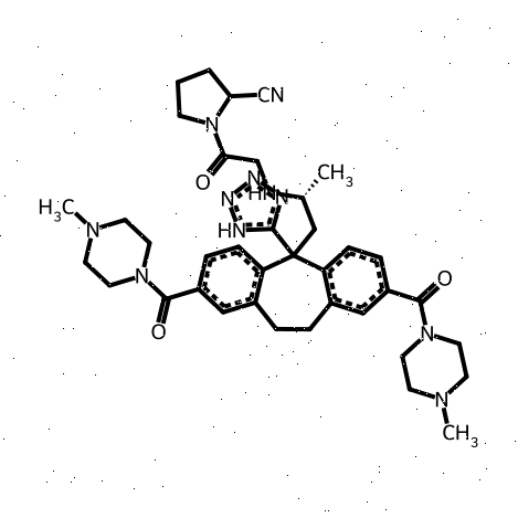 C[C@H](CC1(c2nnn[nH]2)c2ccc(C(=O)N3CCN(C)CC3)cc2CCc2cc(C(=O)N3CCN(C)CC3)ccc21)NCC(=O)N1CCCC1C#N